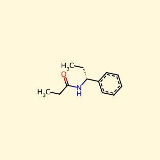 CCC(=O)N[C@H](CC)c1ccccc1